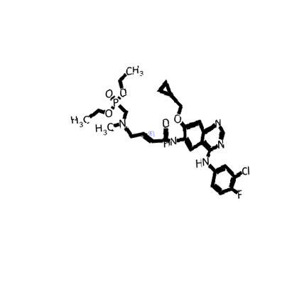 CCOP(=O)(CN(C)C/C=C/C(=O)Nc1cc2c(Nc3ccc(F)c(Cl)c3)ncnc2cc1OCC1CC1)OCC